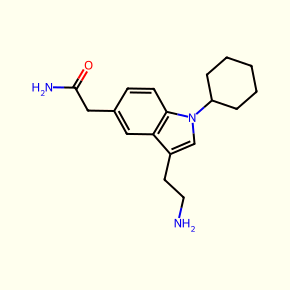 NCCc1cn(C2CCCCC2)c2ccc(CC(N)=O)cc12